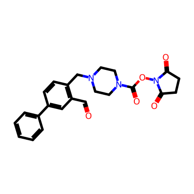 O=Cc1cc(-c2ccccc2)ccc1CN1CCN(C(=O)ON2C(=O)CCC2=O)CC1